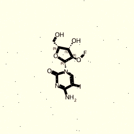 Nc1nc(=O)n([C@@H]2O[C@H](CO)[C@H](O)[C@H]2OF)cc1I